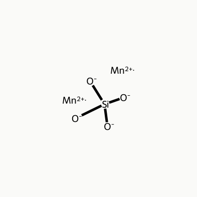 [Mn+2].[Mn+2].[O-][Si]([O-])([O-])[O-]